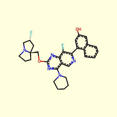 Oc1cc(-c2ncc3c(N4CCCCC4)nc(OC[C@@]45CCCN4C[C@H](F)C5)nc3c2F)c2ccccc2c1